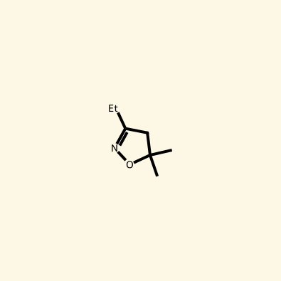 CCC1=NOC(C)(C)C1